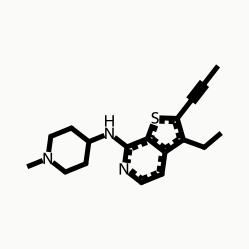 CC#Cc1sc2c(NC3CCN(C)CC3)nccc2c1CC